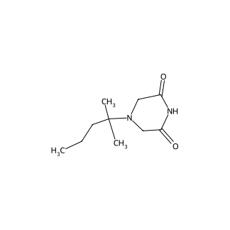 CCCC(C)(C)N1CC(=O)NC(=O)C1